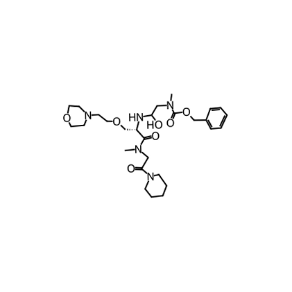 CN(CC(O)N[C@@H](COCCN1CCOCC1)C(=O)N(C)CC(=O)N1CCCCC1)C(=O)OCc1ccccc1